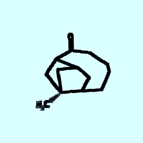 C[C@]12CC3CC1CCCC(=O)C3C2